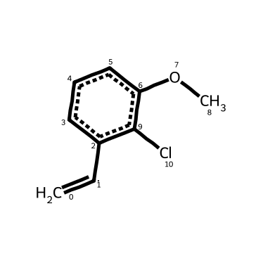 C=[C]c1cccc(OC)c1Cl